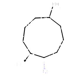 BC1CCC[C@H](C)[C@@H](N)CCC1